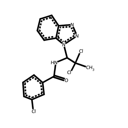 CC(Cl)(Cl)C(NC(=O)c1cccc(Cl)c1)n1nnc2ccccc21